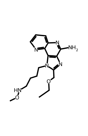 CCOCc1nc2c(N)nc3cccnc3c2n1CCCCNOC